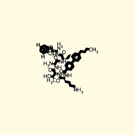 CCCCc1ccc(-c2ccc(C(=O)N[C@@H](CCCCN)C(=O)N[C@H](C(=O)N[C@@H](N)C(=O)N[C@@H](CCN)C(=O)N[C@@H](N)B3OC4C[C@@H]5C[C@H](C4O3)C5(C)C)[C@@H](C)O)cc2)cc1